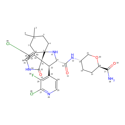 CC1(C)CCC2(CC1)N[C@H](C(=O)N[C@H]1CC[C@H](C(N)=O)OC1)[C@@H](c1ccnc(Cl)c1F)[C@@]21C(=O)Nc2cc(Cl)ccc21